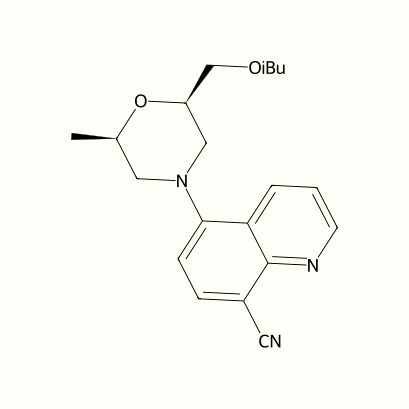 CC(C)COC[C@H]1CN(c2ccc(C#N)c3ncccc23)C[C@@H](C)O1